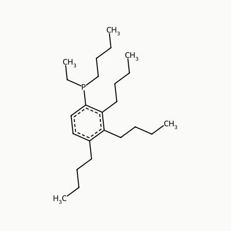 CCCCc1ccc(P(CC)CCCC)c(CCCC)c1CCCC